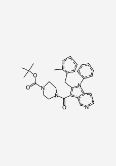 Cc1ccccc1Cc1c(C(=O)N2CCN(C(=O)OC(C)(C)C)CC2)c2cnccc2n1-c1ccccc1